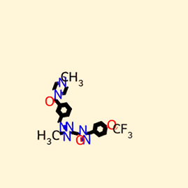 Cc1nc(-c2nc(-c3ccc(OC(F)(F)F)cc3)no2)nn1Cc1cccc(C(=O)N2CCN(C)CC2)c1